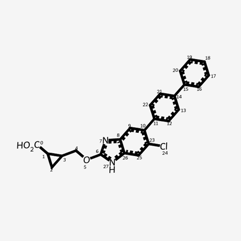 O=C(O)C1CC1COc1nc2cc(-c3ccc(-c4ccccc4)cc3)c(Cl)cc2[nH]1